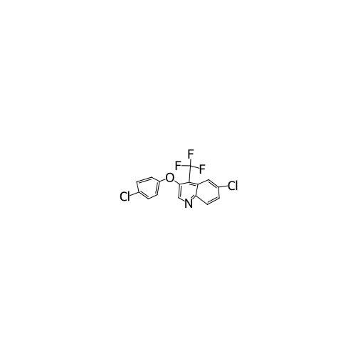 FC(F)(F)c1c(Oc2ccc(Cl)cc2)cnc2ccc(Cl)cc12